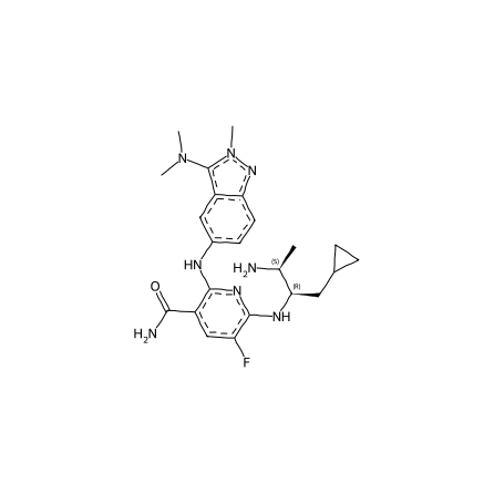 C[C@H](N)[C@@H](CC1CC1)Nc1nc(Nc2ccc3nn(C)c(N(C)C)c3c2)c(C(N)=O)cc1F